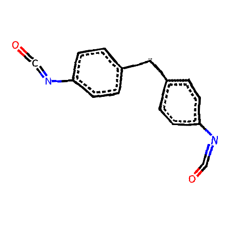 O=C=Nc1ccc([C]c2ccc(N=C=O)cc2)cc1